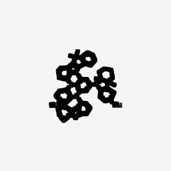 CC(C)(C)c1ccc2c(c1)N(c1cccc3oc4ccccc4c13)c1cc(N3c4ccc(C(C)(C)C)cc4C4(C)CCCCC34C)cc3c1B2c1cccc2c4c(n-3c12)-c1ccccc1C4(C)C